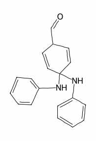 O=CC1C=CC(Nc2ccccc2)(Nc2ccccc2)C=C1